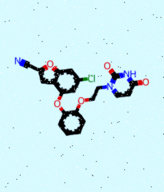 N#Cc1cc2c(Oc3ccccc3OCCn3ccc(=O)[nH]c3=O)cc(Cl)cc2o1